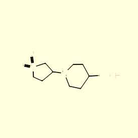 O=C(O)C1CCN(C2CCS(=O)(=O)C2)CC1